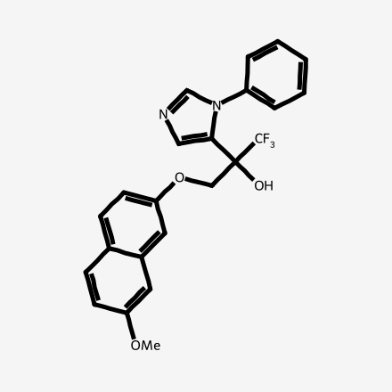 COc1ccc2ccc(OCC(O)(c3cncn3-c3ccccc3)C(F)(F)F)cc2c1